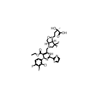 CCOC(=O)C1=C(CN2CC(F)(F)[C@H]3[C@@H]2CON3CC[C@@](C)(O)C(=O)O)NC(c2nccs2)=N[C@H]1c1ccc(F)c(F)c1Cl